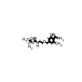 Cc1cc(COCCNC(=O)OC(C)(C)C)cc2onc(N)c12